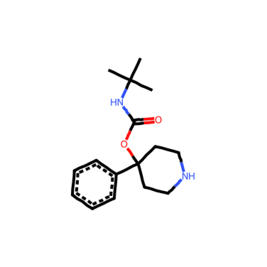 CC(C)(C)NC(=O)OC1(c2ccccc2)CCNCC1